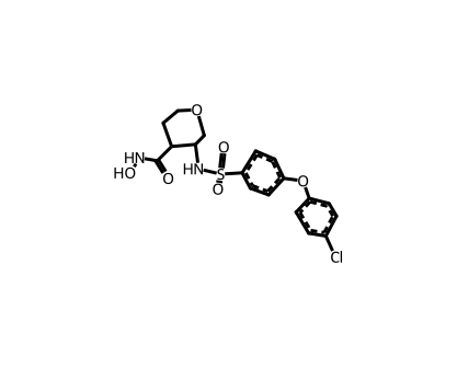 O=C(NO)C1CCOCC1NS(=O)(=O)c1ccc(Oc2ccc(Cl)cc2)cc1